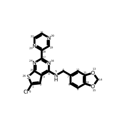 Clc1cc2c(NCc3ccc4c(c3)OCO4)nc(-c3cnccn3)nc2s1